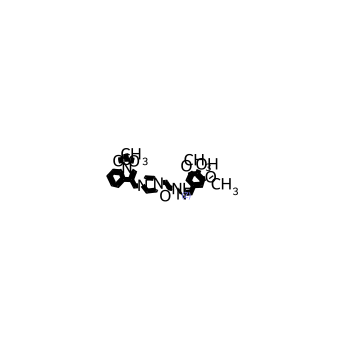 COc1cc(/C=N\NC(=O)CN2CCN(Cc3cn(S(C)(=O)=O)c4ccccc34)CC2)cc(OC)c1O